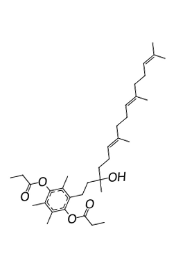 CCC(=O)Oc1c(C)c(C)c(OC(=O)CC)c(CCC(C)(O)CC/C=C(\C)CC/C=C(\C)CCC=C(C)C)c1C